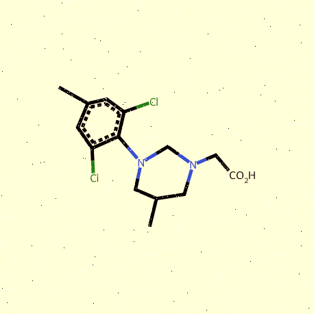 Cc1cc(Cl)c(N2CC(C)CN(CC(=O)O)C2)c(Cl)c1